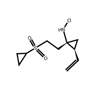 C=C[C@@H]1C[C@@]1(CCS(=O)(=O)C1CC1)NCl